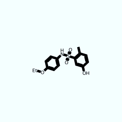 CCOc1ccc(NS(=O)(=O)c2cc(O)ccc2C)cc1